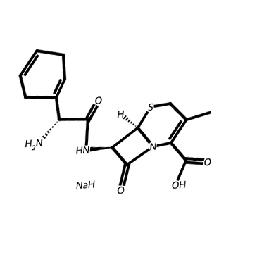 CC1=C(C(=O)O)N2C(=O)[C@@H](NC(=O)[C@H](N)C3=CCC=CC3)[C@H]2SC1.[NaH]